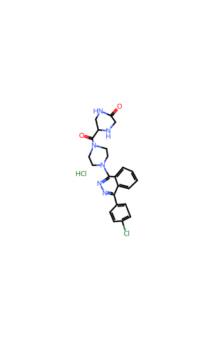 Cl.O=C1CNC(C(=O)N2CCN(c3nnc(-c4ccc(Cl)cc4)c4ccccc34)CC2)CN1